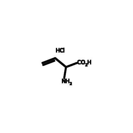 C=CC(N)C(=O)O.Cl